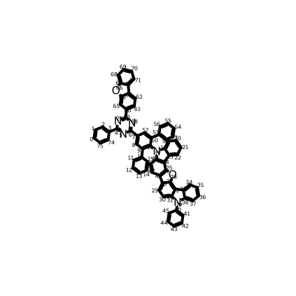 c1ccc(-c2nc(-c3cc(-c4ccccc4)c(-n4c5ccccc5c5c6oc7c(ccc8c7c7ccccc7n8-c7ccccc7)c6ccc54)c(-c4ccccc4)c3)nc(-c3ccc4c(c3)oc3ccccc34)n2)cc1